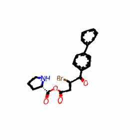 O=C(CC(Br)C(=O)c1ccc(-c2ccccc2)cc1)OC(=O)[C@@H]1CCCN1